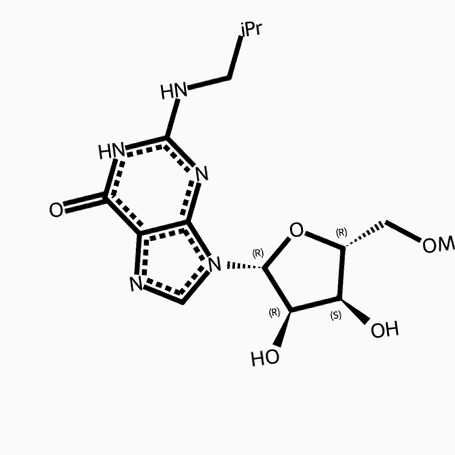 COC[C@H]1O[C@@H](n2cnc3c(=O)[nH]c(NCC(C)C)nc32)[C@H](O)[C@@H]1O